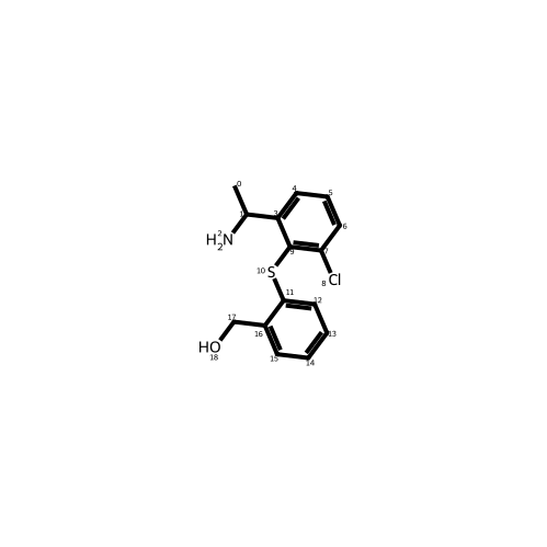 CC(N)c1cccc(Cl)c1Sc1ccccc1CO